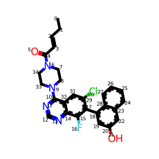 CC/C=C/C(=O)N1CCN(c2ncnc3c(F)c(-c4cc(O)cc5ccccc45)c(Cl)cc23)CC1